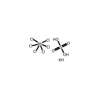 O=S(=O)(O)O.[Cl][Rh]([Cl])([Cl])([Cl])([Cl])[Cl].[KH]